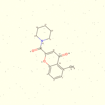 Cc1cccc2oc(C(=O)N3CCCCC3)cc(=O)c12